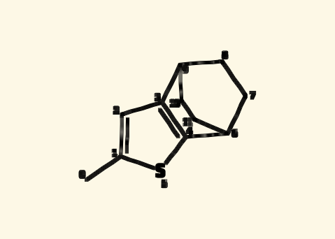 Cc1cc2c(s1)C1CCC2CC1